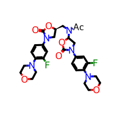 CC(=O)N(C[C@H]1CN(c2ccc(N3CCOCC3)c(F)c2)C(=O)O1)C1CN(c2ccc(N3CCOCC3)c(F)c2)C(=O)O1